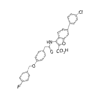 O=C(Cc1ccc(OCc2ccc(F)cc2)cc1)Nc1c(C(=O)O)oc2cc(-c3ccc(Cl)cc3)ccc12